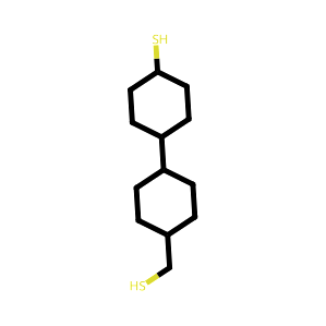 SCC1CCC(C2CCC(S)CC2)CC1